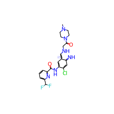 CN1CCN(C(=O)CN/C=C2/C=C(NC(=O)c3cccc(C(F)F)n3)C(Cl)=CC2=N)CC1